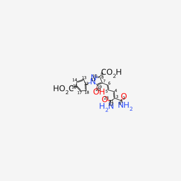 NC(=O)C(=CC=Cc1c(C(=O)O)nn(-c2ccc(C(=O)O)cc2)c1O)C(N)=O